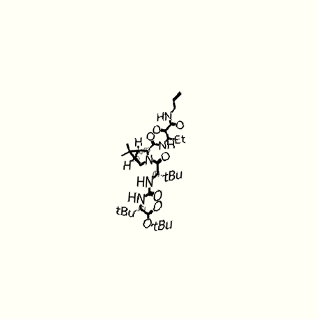 C=CCNC(=O)C(=O)C(CC)NC(=O)[C@@H]1[C@@H]2[C@H](CN1C(=O)[C@@H](NC(=O)N[C@H](C(=O)OC(C)(C)C)C(C)(C)C)C(C)(C)C)C2(C)C